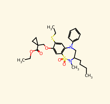 CCCCC1CN(c2ccccc2)c2cc(SCC)c(OCC3(C(=O)OCC)CC3)cc2S(=O)(=O)N1C